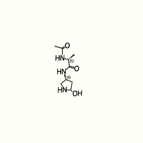 CC(=O)N[C@@H](C)C(=O)N[C@@H]1CNC(O)C1